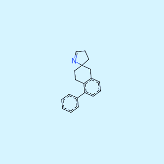 C1=NC2(CC1)CCc1c(cccc1-c1ccccc1)C2